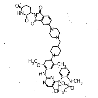 COc1cc(N2CCC(CN3CCN(c4ccc5c(c4)C(=O)N(C4CCC(=O)NC4=O)C5=O)CC3)CC2)c(C)cc1Nc1ncc(Cl)c(Nc2ccccc2N(C)S(C)(=O)=O)n1